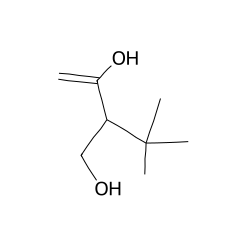 C=C(O)C(CO)C(C)(C)C